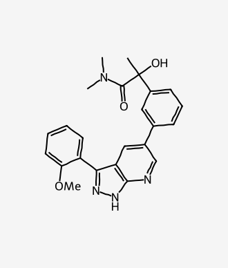 COc1ccccc1-c1n[nH]c2ncc(-c3cccc(C(C)(O)C(=O)N(C)C)c3)cc12